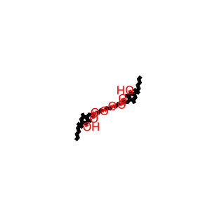 CCCCCC(C)(C)c1cc(C)c(CC(=O)OCCOCCOCCOC(=O)Cc2c(C)cc(C(C)(C)CCCCC)c(O)c2C)c(C)c1O